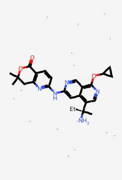 CC[C@@](C)(N)c1cnc(OC2CC2)c2cnc(Nc3ccc4c(n3)CC(C)(C)OC4=O)cc12